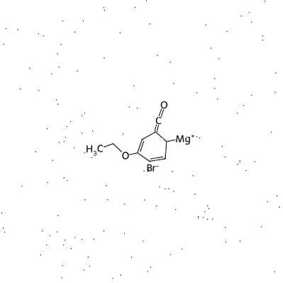 CCOC1=CC(=C=O)[CH]([Mg+])C=C1.[Br-]